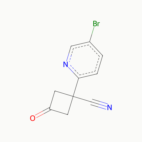 N#CC1(c2ccc(Br)cn2)CC(=O)C1